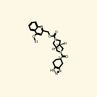 CCOc1cc(COC(=O)N2C[C@@H]3CN(C(=O)[C@@H]4CCc5[nH]nnc5C4)C[C@H]3C2)nc2ccccc12